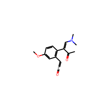 COc1ccc(C(=CN(C)C)C(C)=O)c(C=C=O)c1